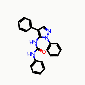 O=C(Nc1ccccc1)Nc1c(-c2ccccc2)cnn1-c1ccccc1